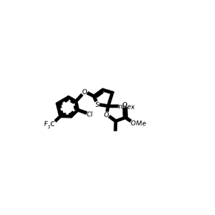 CCCCCCC1(OC(C)C(=O)OC)CC=C(Oc2ccc(C(F)(F)F)cc2Cl)S1